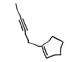 CC#CCC1=CC[CH]C1